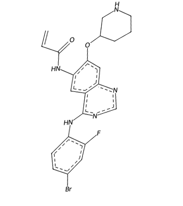 C=CC(=O)Nc1cc2c(Nc3ccc(Br)cc3F)ncnc2cc1OC1CCCNC1